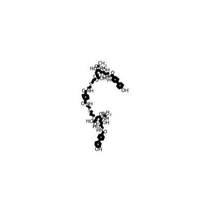 CC(=O)N[C@H]1[C@H]([C@H](O)[C@H](O)CNC(=O)c2ccc(-c3ccc(O)cc3)cc2)O[C@@](OCCCSCCNC(=O)c2ccc(C(=O)NCCSCCCO[C@]3(C(=O)O)C[C@H](O)[C@@H](NC(C)=O)[C@H]([C@H](O)[C@H](O)CNC(=O)c4ccc(-c5ccc(O)cc5)cc4)O3)cc2)(C(=O)O)C[C@@H]1O